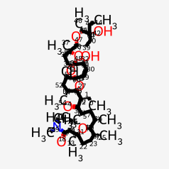 CC[C@@H](C(=O)[C@@H](C)C[C@H](C)[C@@H]1O[C@@](C)([C@@H](CC)C(=O)N(C)C)CC[C@@H]1C)[C@H]1O[C@]2(C=C[C@@H](O)[C@]3(CC[C@@](C)([C@H]4CC[C@](O)(CC)[C@H](C)O4)O3)O2)[C@H](C)C[C@@H]1C